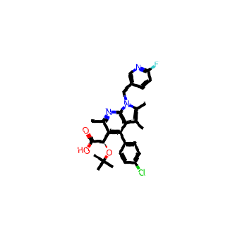 Cc1nc2c(c(C)c(C)n2Cc2ccc(F)nc2)c(-c2ccc(Cl)cc2)c1[C@H](OC(C)(C)C)C(=O)O